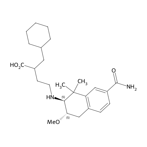 CO[C@H]1Cc2ccc(C(N)=O)cc2C(C)(C)[C@@H]1NCCC(CC1CCCCC1)C(=O)O